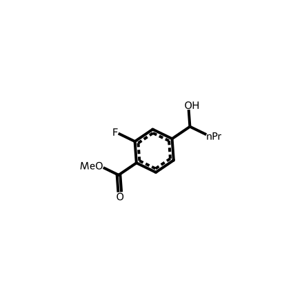 CCCC(O)c1ccc(C(=O)OC)c(F)c1